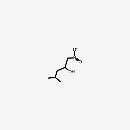 CC(C)CC(O)C[N+](=O)[O-]